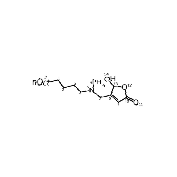 CCCCCCCCCCCCN([PH4])CC1=CC(=O)OC1O